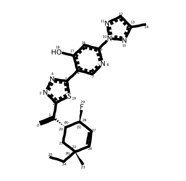 C=C(c1nnc(-c2cnc(-n3ncc(C)n3)cc2O)s1)[C@H]1C[C@@](C)(CC)C=C[C@@H]1F